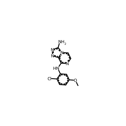 COc1ccc(Cl)c(Nc2nccn3c(N)nnc23)c1